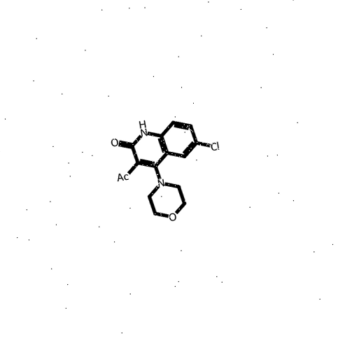 CC(=O)c1c(N2CCOCC2)c2cc(Cl)ccc2[nH]c1=O